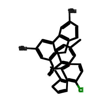 [CH2]=[Zr]([C]1=CC=CC1)([c]1ccc(C)cc1)([c]1cccc(Cl)c1)[c]1cc(C(C)(C)C)cc2c1Cc1ccc(C(C)(C)C)cc1-2